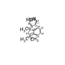 C/C=C(\C=C/NC)C1(C)CC(C)(C)c2ccccc21